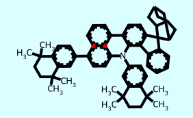 CC1(C)CCC(C)(C)c2cc(-c3ccc(N(c4ccc5c(c4)C(C)(C)CCC5(C)C)c4c(-c5ccccc5)ccc5c4-c4ccccc4C54C5CC6CC(C5)C4C6)cc3)ccc21